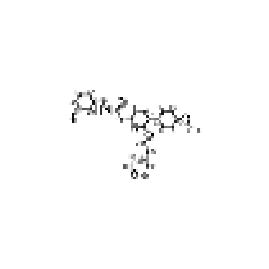 CCOc1ccc(-c2ccc(CC(=O)NCc3cccc(F)c3)nc2OCCN2CCOCC2)cc1